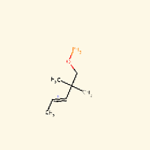 C/C=C/C(C)(C)COP